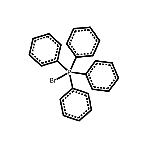 BrP(c1ccccc1)(c1ccccc1)(c1ccccc1)c1ccccc1